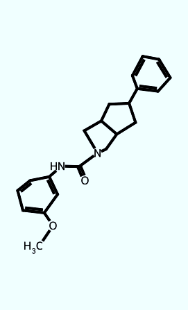 COc1cccc(NC(=O)N2CC3CC(c4ccccc4)CC3C2)c1